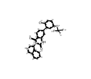 O=c1[nH]c2cc(-c3cc(OC(F)(F)F)ccc3Cl)ccc2c(=O)n1-c1cncc2ccccc12